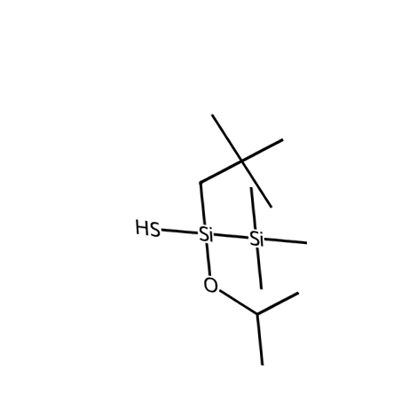 CC(C)O[Si](S)(CC(C)(C)C)[Si](C)(C)C